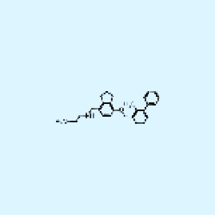 CC(=O)NCCNCc1ccc(OCc2cccc(-c3ccccc3)c2C)c2c1CCC2